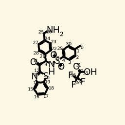 Cc1ccc(S(=O)(=O)NC(C(=O)c2nc3ccccc3s2)c2ccc(CN)cc2)cc1.O=C(O)C(F)(F)F